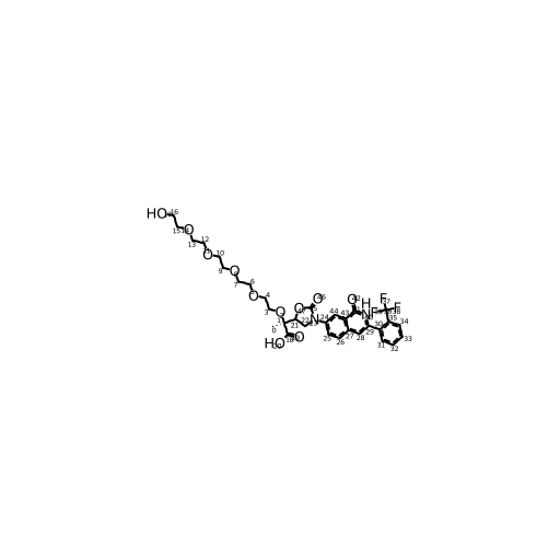 C[C@@](OCCOCCOCCOCCOCCO)(C(=O)O)C1CN(c2ccc3cc(-c4ccccc4C(F)(F)F)[nH]c(=O)c3c2)C(=O)O1